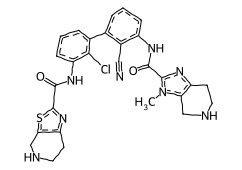 Cn1c(C(=O)Nc2cccc(-c3cccc(NC(=O)c4nc5c(s4)CNCC5)c3Cl)c2C#N)nc2c1CNCC2